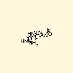 Cc1cc(-c2[nH]nc(-c3ncc(C(C)N(C)CC(=O)N(C)C)s3)c2C(C)C)cn(N)c1=N